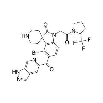 O=C(c1cc2cn[nH]c2cn1)c1ccc2c(c1Br)C1(CCNCC1)C(=O)N2CC(=O)N1CCC[C@@H]1C(F)(F)F